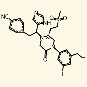 CS(=O)(=O)CC[C@H]1CN(c2cc(I)cc(CF)c2)C(=O)CN1C(Cc1ccc(C#N)cc1)c1cnc[nH]1